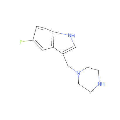 Fc1ccc2[nH]cc(CN3CCNCC3)c2c1